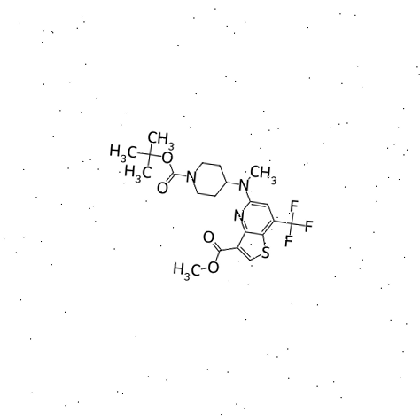 COC(=O)c1csc2c(C(F)(F)F)cc(N(C)C3CCN(C(=O)OC(C)(C)C)CC3)nc12